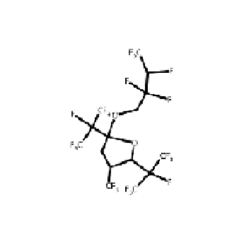 FC(C(F)(F)F)C(F)(F)COC1(C(F)(C(F)(F)F)C(F)(F)F)CC(C(F)(F)F)C(C(F)(C(F)(F)F)C(F)(F)F)O1